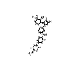 Cc1cccc(-c2n[nH]cc2-c2ccnc(Nc3ccc(N4CCN(C)CC4)cc3)n2)c1C